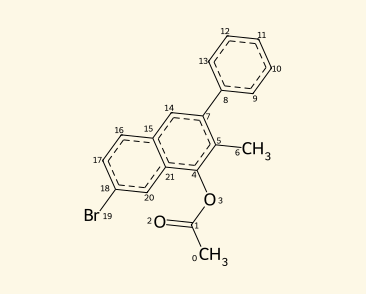 CC(=O)Oc1c(C)c(-c2ccccc2)cc2ccc(Br)cc12